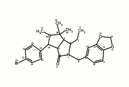 CCC1C2C(C(=O)N1Cc1ccc3c(c1)OCO3)C(c1ccc(Br)cc1)N(C)C2(C)C